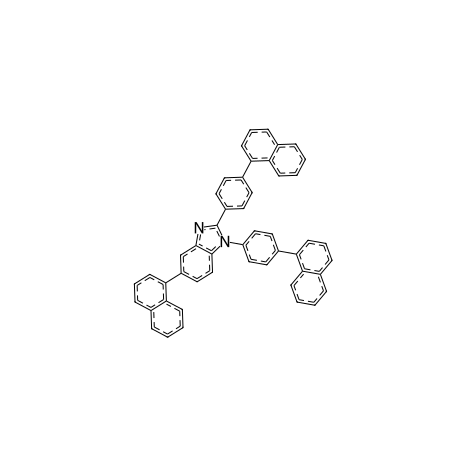 c1ccc2c(-c3ccc(-c4nc5cc(-c6cccc7ccccc67)ccc5n4-c4ccc(-c5cccc6ccccc56)cc4)cc3)cccc2c1